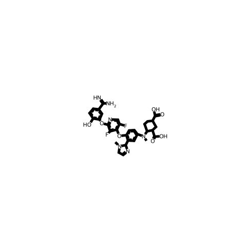 CN1CC=NC1c1cc(N(C)C2CCC(C(=O)O)CC2C(=O)O)ccc1Oc1c(F)cnc(Oc2cc(C(=N)N)ccc2O)c1F